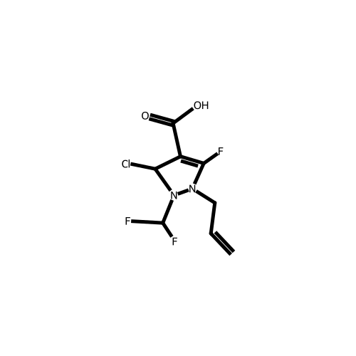 C=CCN1C(F)=C(C(=O)O)C(Cl)N1C(F)F